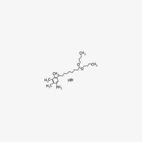 Br.CCCCOC(CCCCCCCCc1cc(P)c(C)c(C)c1C)OCCCC